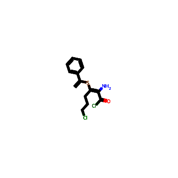 C=C(S/C(CCCCl)=C(\N)C(=O)Cl)c1ccccc1